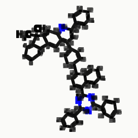 CC1(C)c2ccccc2-c2cc3c(C4=CCC(c5ccc(-c6nc(-c7ccccc7)nc(-c7ccccc7)n6)c6ccccc56)C=C4)cc(-c4ccccc4)nc3cc21